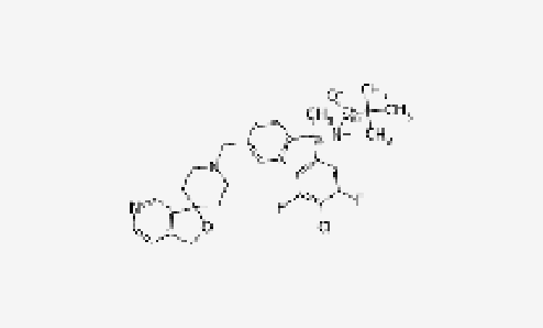 CC(C)(C)[S@@+]([O-])N[C@@](C)(c1cc(F)c(Cl)c(F)c1)c1ccc(CN2CCC3(CC2)OCc2ccncc23)cn1